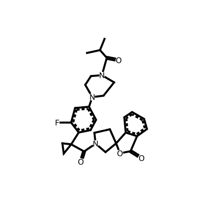 CC(C)C(=O)N1CCN(c2ccc(C3(C(=O)N4CCC5(C4)OC(=O)c4ccccc45)CC3)c(F)c2)CC1